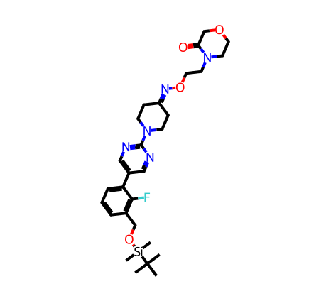 CC(C)(C)[Si](C)(C)OCc1cccc(-c2cnc(N3CCC(=NOCCN4CCOCC4=O)CC3)nc2)c1F